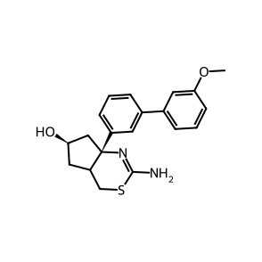 COc1cccc(-c2cccc([C@]34C[C@H](O)CC3CSC(N)=N4)c2)c1